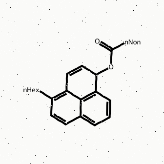 CCCCCCCCCC(=O)OC1C=Cc2c(CCCCCC)ccc3cccc1c23